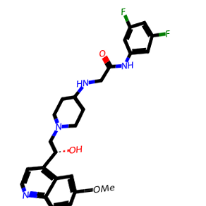 COc1ccc2nccc([C@@H](O)CN3CCC(NCC(=O)Nc4cc(F)cc(F)c4)CC3)c2c1